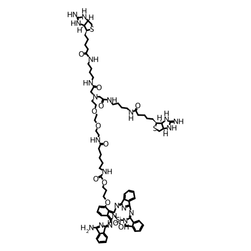 N=C1N[C@H]2[C@H](CS[C@H]2CCCCC(=O)NCCCCNC(=O)CN(CCOCCOCCNC(=O)CCCCCNC(=O)OCCCOc2cccc3c(/N=C4\N=C(N)c5ccccc54)n4c(c23)/N=C2N=C(/N=C3/c5ccccc5CN3[Si]4(O)O)c3ccccc3\2)CC(=O)NCCCCNC(=O)CCCC[C@@H]2SC[C@@H]3NC(=N)N[C@@H]32)N1